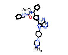 CC(=O)ON(C(=O)NCc1ccccc1)C(c1ccccc1)c1ccc(-c2nn(C3CCC(N4CCN(C)CC4)CC3)c3ncnc(N)c23)cc1